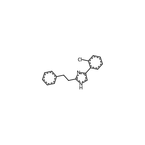 Clc1ccccc1-c1c[nH]c(CCc2ccccc2)n1